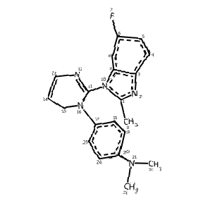 Cc1nc2ccc(F)cc2n1C1=NC=CCN1c1ccc(N(C)C)cc1